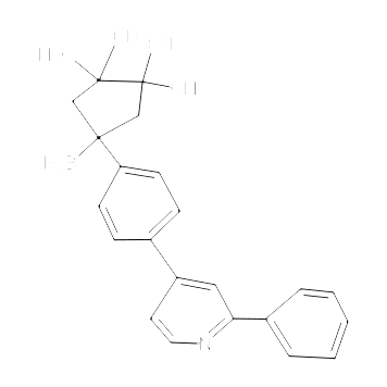 BC1(c2ccc(-c3ccnc(-c4ccccc4)c3)cc2)CC(C)(C)C(C)(C)C1